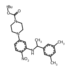 Cc1cc(C)cc(C(C)Nc2cc(N3CCN(C(=O)OC(C)(C)C)CC3)ccc2[N+](=O)[O-])c1